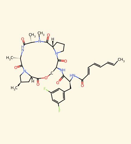 C/C=C/C=C/C=C/C(=O)N[C@@H](Cc1cc(F)cc(F)c1)C(=O)N[C@H]1COC(=O)[C@@H]2C[C@@H](C)CN2C(=O)[C@H](C)NC(=O)[C@H](C)N(C)C(=O)[C@@H]2CCCN2C1=O